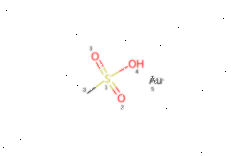 CS(=O)(=O)O.[Au]